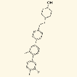 Cc1ccc(-c2ccc(-c3ccc(CCC4CCC(O)CC4)cc3)cc2C)cc1F